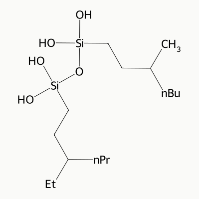 CCCCC(C)CC[Si](O)(O)O[Si](O)(O)CCC(CC)CCC